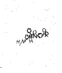 CC1(C)CCC(=O)N1c1ccc(NC(=O)[C@@H](Nc2cccc(CN)c2)c2ccccc2)cc1